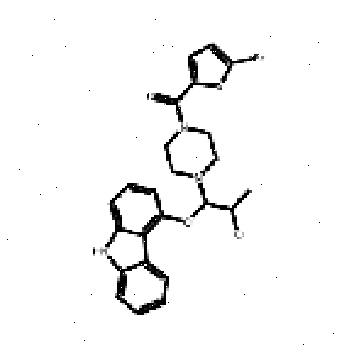 CC(O)C(Oc1cccc2[nH]c3ccccc3c12)N1CCN(C(=O)c2ccc(Br)s2)CC1